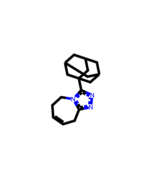 C1=CCc2nnc(C34CC5CC(CC(C5)C3)C4)n2CC1